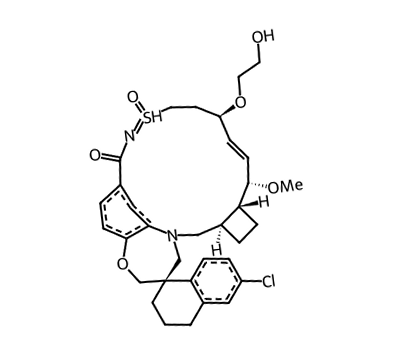 CO[C@H]1/C=C/[C@H](OCCO)CC/[SH](=O)=N\C(=O)c2ccc3c(c2)N(C[C@@H]2CC[C@H]21)C[C@@]1(CCCc2cc(Cl)ccc21)CO3